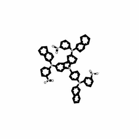 O=[N+]([O-])c1cccc(N(c2ccc(-n3c4ccc(N(c5cccc([N+](=O)[O-])c5)c5ccc6ccccc6c5)cc4c4cc(N(c5cccc([N+](=O)[O-])c5)c5ccc6ccccc6c5)ccc43)cc2)c2ccc3ccccc3c2)c1